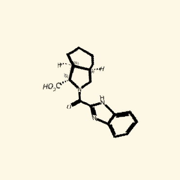 O=C(O)[C@@H]1[C@H]2CCC[C@H]2CN1C(=O)c1nc2ccccc2[nH]1